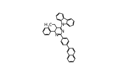 CCC1C(n2c3ccccc3c3ccccc32)=NC(c2ccc(-c3ccc4ccccc4c3)cc2)=NC1c1ccccc1